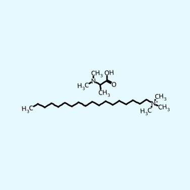 CC(C(=O)O)N(C)C.CCCCCCCCCCCCCCCCCC[N+](C)(C)C